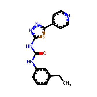 CCc1cccc(NC(=O)Nc2nnc(-c3ccncc3)s2)c1